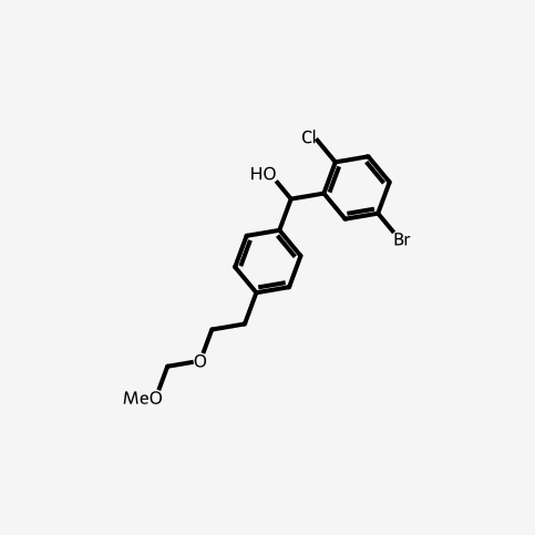 COCOCCc1ccc(C(O)c2cc(Br)ccc2Cl)cc1